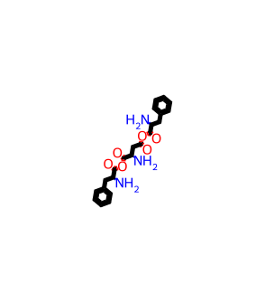 N[C@@H](Cc1ccccc1)C(=O)OC(=O)C[C@H](N)C(=O)OC(=O)[C@@H](N)Cc1ccccc1